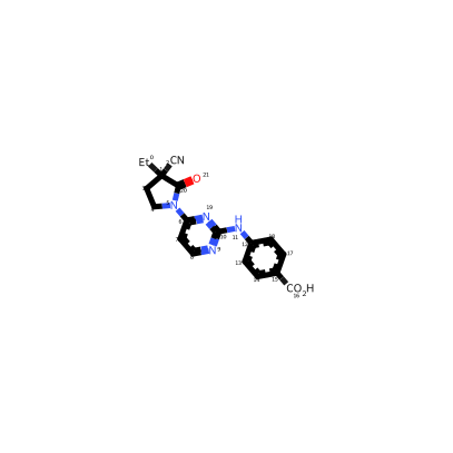 CCC1(C#N)CCN(c2ccnc(Nc3ccc(C(=O)O)cc3)n2)C1=O